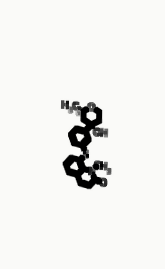 C[C@H]1C[C@@](O)(c2cccc(Sc3cccc4ccc(=O)n(C)c34)c2)CCO1